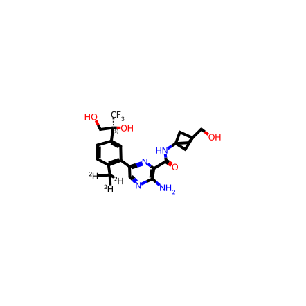 [2H]C([2H])([2H])c1ccc([C@](O)(CO)C(F)(F)F)cc1-c1cnc(N)c(C(=O)NC23CC(CO)(C2)C3)n1